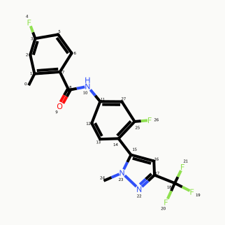 Cc1cc(F)ccc1C(=O)Nc1ccc(-c2cc(C(F)(F)F)nn2C)c(F)c1